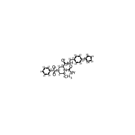 CC(C)C(=O)N1C(C)CN(S(=O)(=O)c2ccccc2)CC1C(=O)NCc1ccc(-n2cccn2)cc1